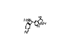 C/N=C\c1ccc2[nH]nc(-c3cnc4c(c3)C3(CC3)CN4)c2c1